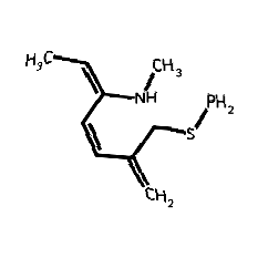 C=C(/C=C\C(=C/C)NC)CSP